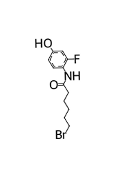 O=C(CCCCCBr)Nc1ccc(O)cc1F